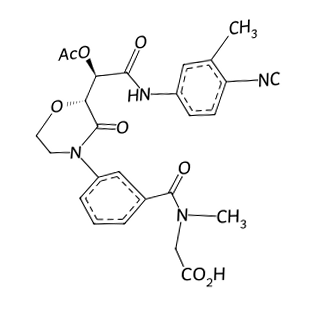 [C-]#[N+]c1ccc(NC(=O)[C@H](OC(C)=O)[C@H]2OCCN(c3cccc(C(=O)N(C)CC(=O)O)c3)C2=O)cc1C